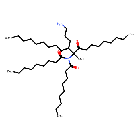 CCCCCCCCCCCCCCCCCC(=O)C(CCCN)[C@](C(=O)O)(C(=O)CCCCCCCCCCCCCCCCC)N(C(=O)CCCCCCCCCCCCCCCCC)C(=O)CCCCCCCCCCCCCCCCC